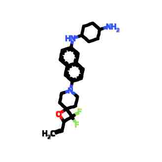 C=CC1OC2(CCN(c3ccc4cc(NC5CCC(N)CC5)ccc4c3)CC2)C1(F)F